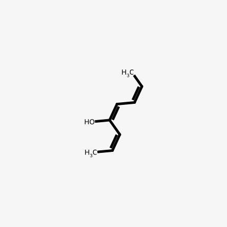 C\C=C/C=C(O)\C=C/C